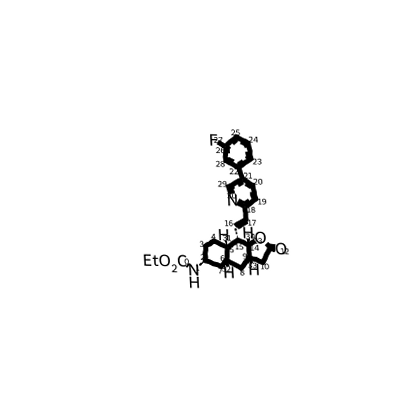 CCOC(=O)N[C@@H]1CC[C@@H]2[C@@H](C1)C[C@H]1CC(=O)O[C@H]1[C@H]2/C=C/c1ccc(-c2cccc(F)c2)cn1